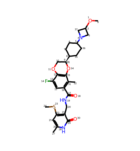 COC1CN(C2CCC([C@@H]3COc4c(F)cc(C(=O)NCc5c(SC)cc(C)[nH]c5=O)c(C)c4O3)CC2)C1